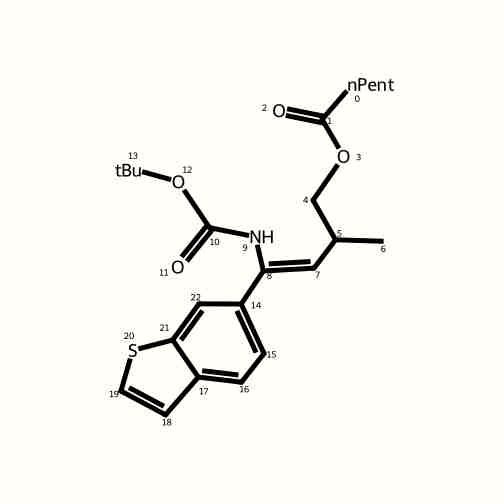 CCCCCC(=O)OCC(C)C=C(NC(=O)OC(C)(C)C)c1ccc2ccsc2c1